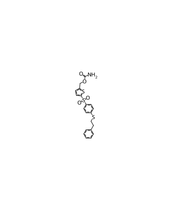 NC(=O)OCc1ccc(S(=O)(=O)c2ccc(SCCc3ccccc3)cc2)s1